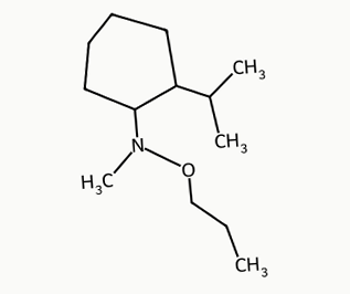 CCCON(C)C1CCCCC1C(C)C